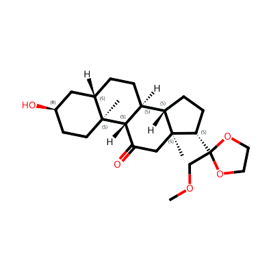 COCC1([C@H]2CC[C@H]3[C@@H]4CC[C@H]5C[C@H](O)CC[C@]5(C)[C@H]4C(=O)C[C@]23C)OCCO1